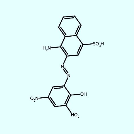 Nc1c(N=Nc2cc([N+](=O)[O-])cc([N+](=O)[O-])c2O)cc(S(=O)(=O)O)c2ccccc12